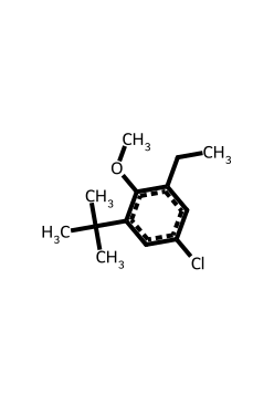 CCc1cc(Cl)cc(C(C)(C)C)c1OC